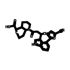 CC(CC(=O)N1CCCC2C(C(=O)O)CCCC21)c1c[nH]c2cccc(-c3ccc(C#N)o3)c12